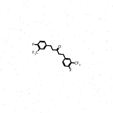 O=C(CCc1ccc(F)c(C(F)(F)F)c1)CCc1ccc(F)c(C(F)(F)F)c1